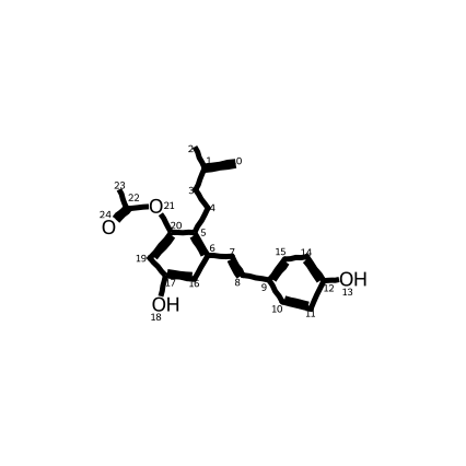 C=C(C)CCc1c(C=Cc2ccc(O)cc2)cc(O)cc1OC(C)=O